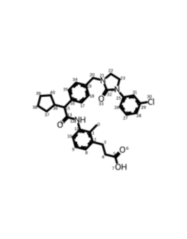 Cc1c(CCC(=O)O)cccc1NC(=O)C(c1ccc(CN2CCN(c3cccc(Cl)c3)C2=O)cc1)C1CCCC1